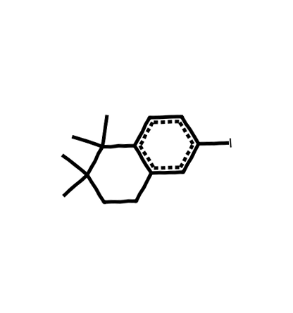 CC1(C)CCc2cc(I)ccc2C1(C)C